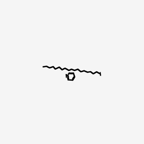 CCCCCCCCCCCCCCCCCCI.c1ccncc1